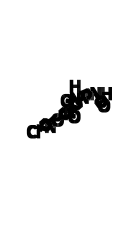 O=c1[nH]c(N2CCC(NC3CCOCC3)C2)ccc1-n1ccc(OCc2ccc(Cl)cn2)cc1=O